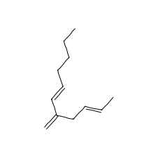 C=C(C=CCCCC)CC=CC